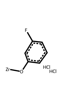 Cl.Cl.Fc1cccc([O][Zr])c1